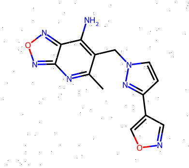 Cc1nc2nonc2c(N)c1Cn1ccc(-c2cnoc2)n1